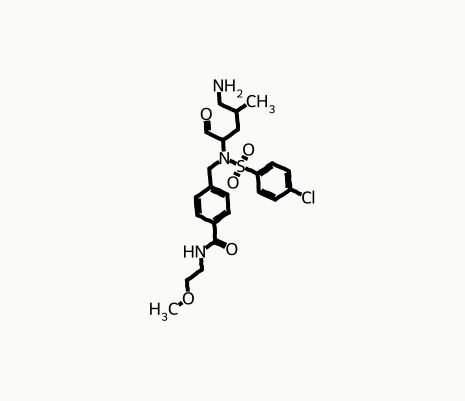 COCCNC(=O)c1ccc(CN(C(C=O)CC(C)CN)S(=O)(=O)c2ccc(Cl)cc2)cc1